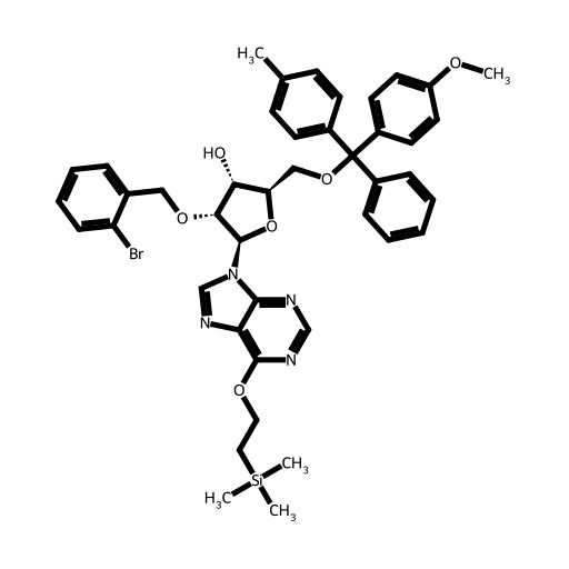 COc1ccc(C(OC[C@H]2O[C@@H](n3cnc4c(OCC[Si](C)(C)C)ncnc43)[C@H](OCc3ccccc3Br)[C@@H]2O)(c2ccccc2)c2ccc(C)cc2)cc1